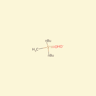 CCCC[S+](C)(=O)CCCC.[OH-]